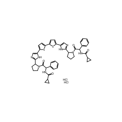 Cl.Cl.O=C(NC(C(=O)N1CCCC1c1ncc(-c2ccc(-c3ccc(-c4cnc(C5CCCN5C(=O)C(NC(=O)C5CC5)c5ccccc5)[nH]4)s3)s2)[nH]1)c1ccccc1)C1CC1